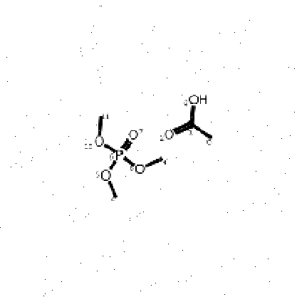 CC(=O)O.COP(=O)(OC)OC